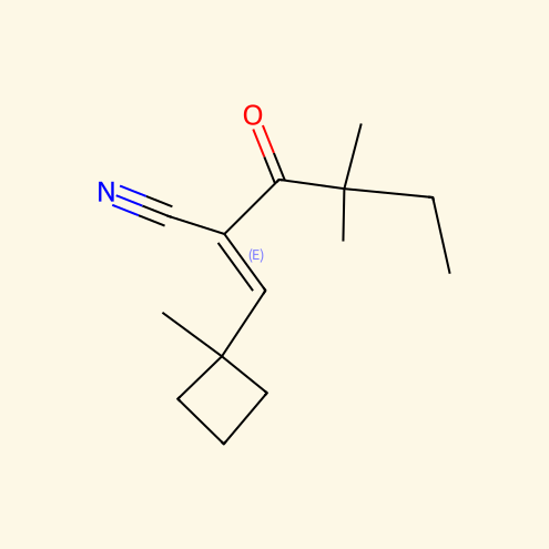 CCC(C)(C)C(=O)/C(C#N)=C/C1(C)CCC1